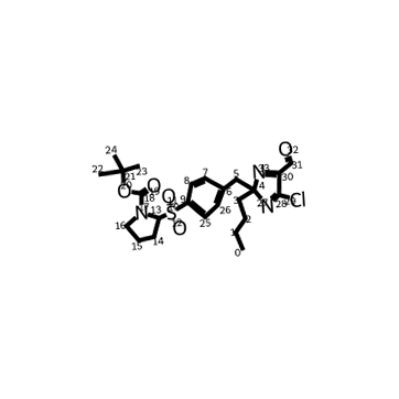 CCCCC1(Cc2ccc(S(=O)(=O)C3CCCN3C(=O)OC(C)(C)C)cc2)N=C(Cl)C(C=O)=N1